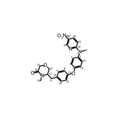 CN(c1ccc(Oc2ccc(CC3COCC(=O)N3C)cc2)cc1)c1ccc([N+](=O)[O-])cn1